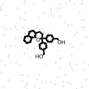 OCc1ccc(C2(c3ccc(CO)cc3)CCc3ccc4ccccc4c3O2)cc1